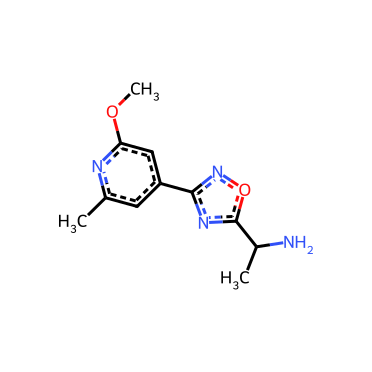 COc1cc(-c2noc(C(C)N)n2)cc(C)n1